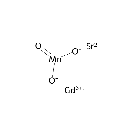 [Gd+3].[O]=[Mn]([O-])[O-].[Sr+2]